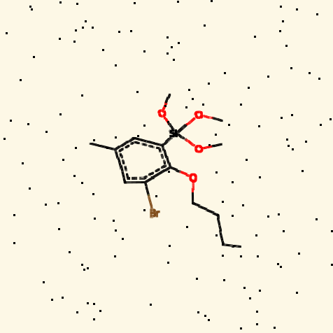 CCCCOc1c(Br)cc(C)cc1[Si](OC)(OC)OC